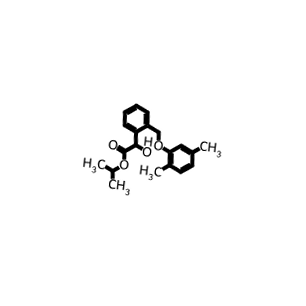 Cc1ccc(C)c(OCc2ccccc2C(O)C(=O)OC(C)C)c1